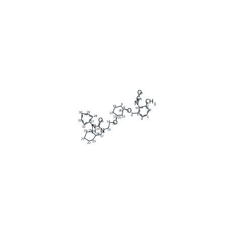 Cc1cccc(CO[C@@H]2CCC[C@H](OCCN(CC3CCCCC3)C(=O)Nc3ccccc3)C2)c1N=C=O